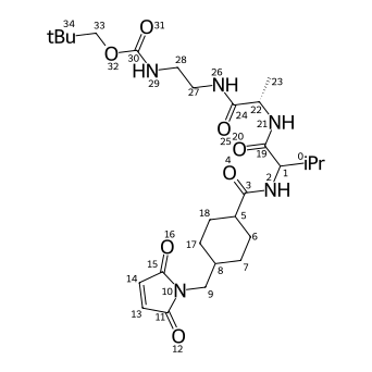 CC(C)C(NC(=O)C1CCC(CN2C(=O)C=CC2=O)CC1)C(=O)N[C@@H](C)C(=O)NCCNC(=O)OCC(C)(C)C